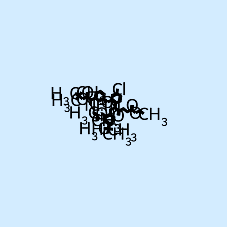 CCOC(=O)CCC(=O)N(Cc1ccc(C(C)(C)C)cc1O[SiH](C)C)c1ccc(Cl)cc1Oc1cccc(C(N)C(=O)OC(C)(C)C)c1